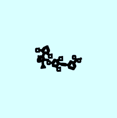 COC(=O)c1cccc(C#Cc2c(Cl)cc(OCc3c(-c4c(Cl)cccc4Cl)noc3C3CC3)cc2Cl)c1